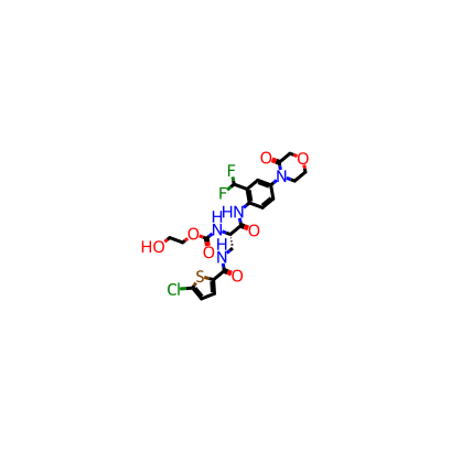 O=C(N[C@@H](CNC(=O)c1ccc(Cl)s1)C(=O)Nc1ccc(N2CCOCC2=O)cc1C(F)F)OCCO